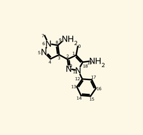 Cc1c(-c2cnn(C)c2N)nn(-c2ccccc2)c1N